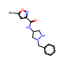 CC(C)(C)c1cc(C(=O)NC2CNN(Cc3ccccc3)C2)no1